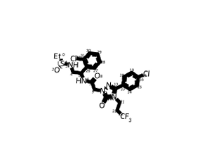 CC[S+]([O-])NCC(NC(=O)Cn1nc(-c2ccc(Cl)cc2)n(CCC(F)(F)F)c1=O)c1ccccc1Cl